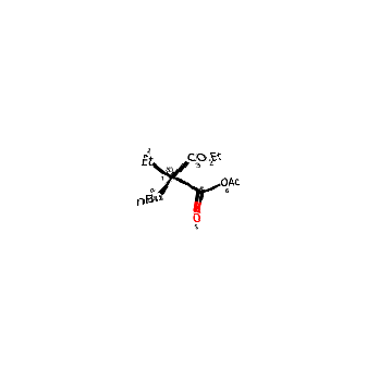 CCCC[C@@](CC)(C(=O)OCC)C(=O)OC(C)=O